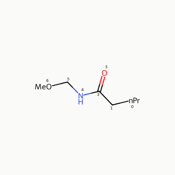 CCCCC(=O)NCOC